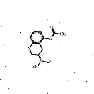 CCCN(CCC)C1CSc2cccc(OC(=O)C(C)(C)C)c2C1